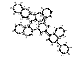 c1ccc(-c2nc(-c3ccc4ccccc4c3-n3c4ccccc4c4cc5ccccc5cc43)nc(-c3ccc(-c4ccccc4)c4ccccc34)n2)cc1